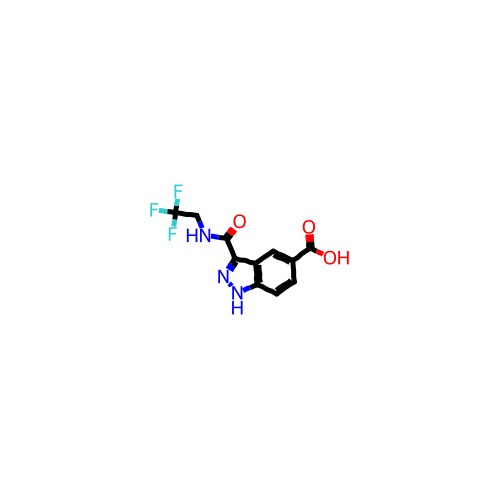 O=C(O)c1ccc2[nH]nc(C(=O)NCC(F)(F)F)c2c1